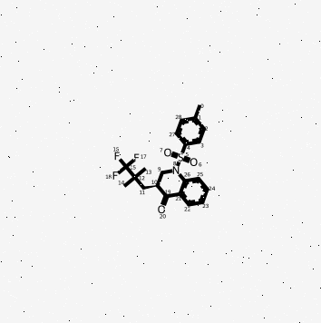 Cc1ccc(S(=O)(=O)N2C[C@H](CC(C)(C)C(F)(F)F)C(=O)c3ccccc32)cc1